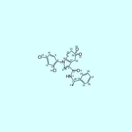 C[C@@H](NC(=O)c1nn(-c2ccc(Cl)cc2Cl)c2c1CS(=O)(=O)CC2)c1ccccc1